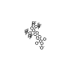 Cc1cccc(C)c1-c1ccc2c(-c3ccccc3)c3c(c(-c4ccccc4)c2c1)-c1ccc2c4ccc5c6c(-c7cc(C(F)(F)F)cc(C(F)(F)F)c7)c7cccc8c9c(C(F)(F)F)cc(C(F)(F)F)cc9c(c78)c6c6ccc(c7ccc-3c1c27)c4c56